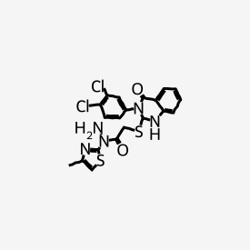 Cc1csc(N(N)C(=O)CSC2Nc3ccccc3C(=O)N2c2ccc(Cl)c(Cl)c2)n1